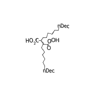 CCCCCCCCCCCCCCCCC(C(=O)O)=C(CCCCCCCCCCCCCCCC)C(=O)OO